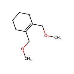 COCC1=C(COC)CCCC1